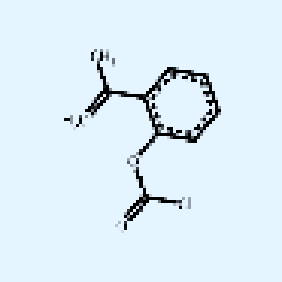 C=C(C)c1ccccc1OC(=O)Cl